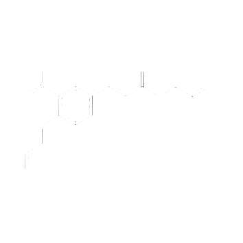 C=CCOC(=O)/C=C/c1ccc(OCC=C)c([N+](=O)[O-])c1